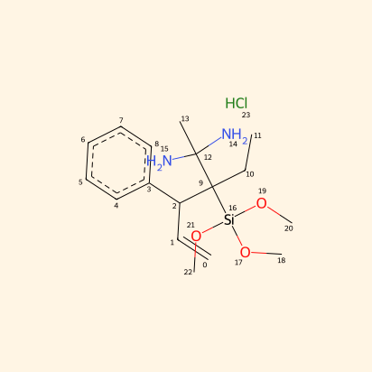 C=CC(c1ccccc1)C(CC)(C(C)(N)N)[Si](OC)(OC)OC.Cl